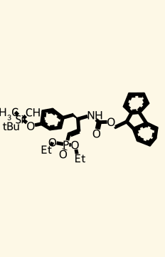 CCOP(=O)(/C=C/[C@@H](Cc1ccc(O[Si](C)(C)C(C)(C)C)cc1)NC(=O)OCC1c2ccccc2-c2ccccc21)OCC